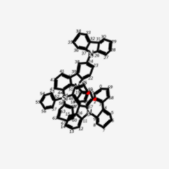 c1ccc(-c2ccccc2-n2c3ccccc3c3cc(-n4c5ccc(-n6c7ccccc7c7ccccc76)cc5c5cccc([Si](c6ccccc6)(c6ccccc6)c6ccccc6)c54)ccc32)cc1